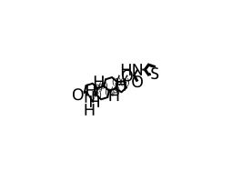 C[C@]12CC[C@@H]3[C@H]4CCC(=O)N[C@@H]4CC[C@H]3[C@@H]1CC[C@@H]2OC(=O)Nc1ccsc1